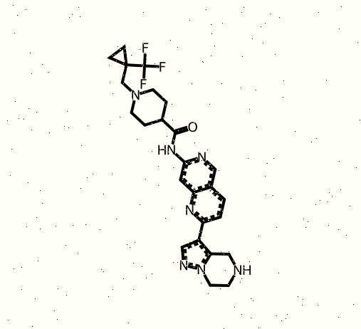 O=C(Nc1cc2nc(-c3cnn4c3CNCC4)ccc2cn1)C1CCN(CC2(C(F)(F)F)CC2)CC1